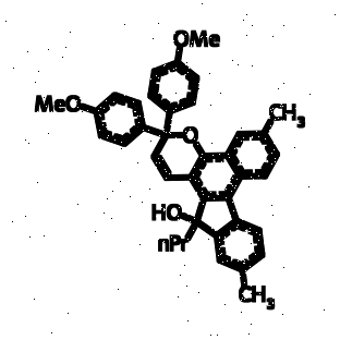 CCCC1(O)c2cc(C)ccc2-c2c1c1c(c3cc(C)ccc23)OC(c2ccc(OC)cc2)(c2ccc(OC)cc2)C=C1